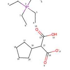 CC[P+](CC)(CC)CC.O=C([O-])C(C(=O)O)C1CCCC1